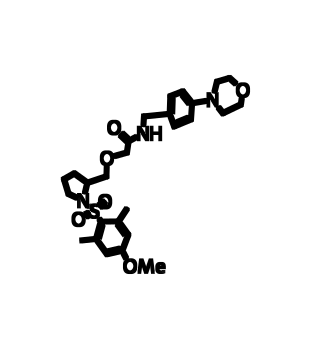 COc1cc(C)c(S(=O)(=O)N2CCCC2COCC(=O)NCc2ccc(N3CCOCC3)cc2)c(C)c1